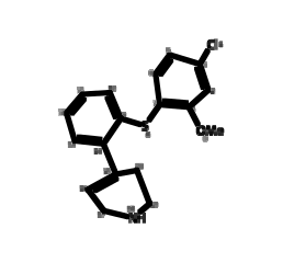 COc1cc(Cl)ccc1Sc1ccccc1C1=CCNCC1